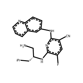 CC(C)C[C@H](CN)Nc1nc(Nc2ccc3ncccc3c2)c(C#N)cc1F